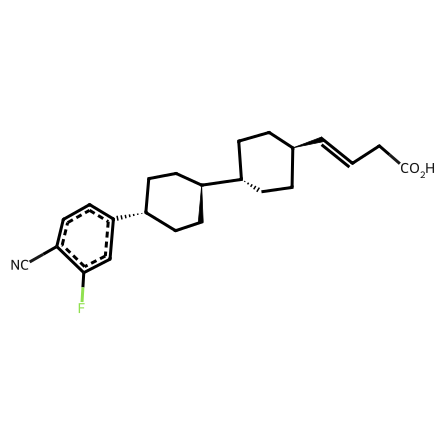 N#Cc1ccc([C@H]2CC[C@H]([C@H]3CC[C@H](C=CCC(=O)O)CC3)CC2)cc1F